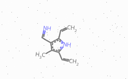 C=Cc1[nH]c(C=C)c(C=N)c1C